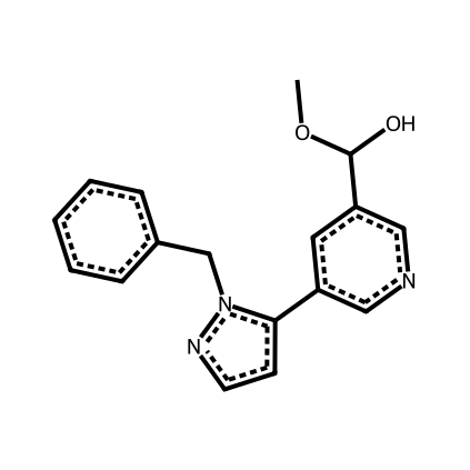 COC(O)c1cncc(-c2ccnn2Cc2ccccc2)c1